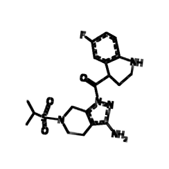 CC(C)S(=O)(=O)N1CCc2c(N)nn(C(=O)C3CCNc4ccc(F)cc43)c2C1